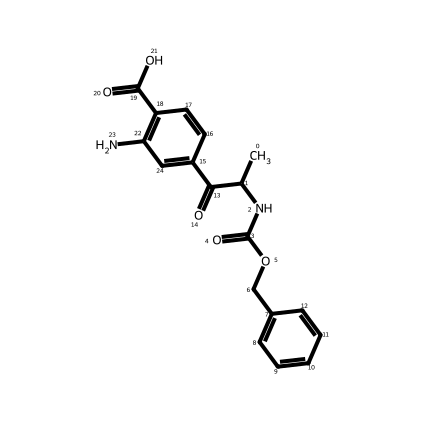 CC(NC(=O)OCc1ccccc1)C(=O)c1ccc(C(=O)O)c(N)c1